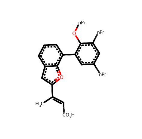 CCCOc1c(CCC)cc(CCC)cc1-c1cccc2cc(C(C)=CC(=O)O)oc12